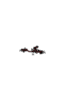 CC(C)(C)[C@H](NC(=O)c1cc2cc(C(F)(F)P(=O)(O)O)ccc2s1)C(=O)N1C[C@H](NC(=O)CCCCCC#Cc2ccc3c(c2)CN(C2CCC(=O)NC2=O)C3=O)C[C@H]1C(=O)Nc1ncc(-c2ccccc2)s1